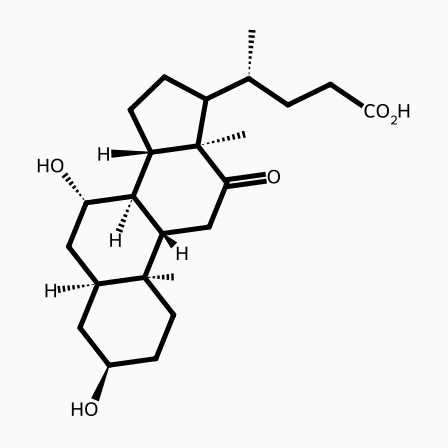 C[C@H](CCC(=O)O)C1CC[C@H]2[C@@H]3[C@@H](O)C[C@@H]4C[C@H](O)CC[C@]4(C)[C@H]3CC(=O)[C@]12C